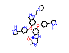 COC[C@H](C)N(C)Cc1nc2cc(Oc3ccc(-c4ccn[nH]4)cc3)ccc2[nH]1.c1cc(-c2ccc(Oc3ccc4c(cnn4CCN4CCCC4)c3)nc2)[nH]n1